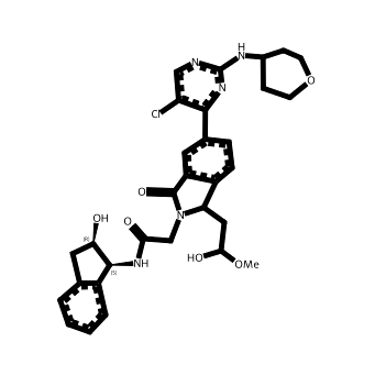 COC(O)CC1c2ccc(-c3nc(NC4CCOCC4)ncc3Cl)cc2C(=O)N1CC(=O)N[C@H]1c2ccccc2C[C@H]1O